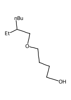 CCCCC(CC)COCCCCO